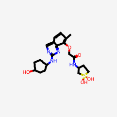 Cc1ccc2cnc(NC3CCC(O)CC3)nc2c1OCC(=O)NC1CCS(O)(O)C1